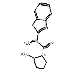 CN(C(=O)[C@@H]1CCCN1C(=O)O)c1nc2ccccc2s1